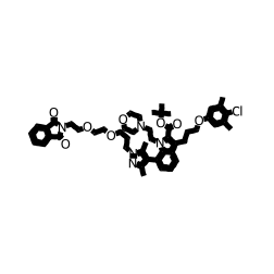 Cc1cc(OCCCc2c(C(=O)OC(C)(C)C)n(CCN3CCOCC3)c3c(-c4c(C)nn(CCCOCCOCCN5C(=O)c6ccccc6C5=O)c4C)cccc23)cc(C)c1Cl